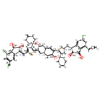 C=Cc1cc(F)cc2c1C(=O)C(=O)C2CC1CC2=C(S1)C1=CC3C=C4OC5(CCCCC5)c5cc(/C=C6\C(=O)C(=O)c7c(F)cc(F)cc76)sc5C4=CC3C=C1OC21CCCCC1